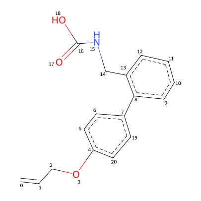 C=CCOc1ccc(-c2ccccc2CNC(=O)O)cc1